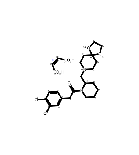 O=C(Cc1ccc(Cl)c(Cl)c1)N1CCCCC1CN1CCC2(CC1)OCCO2.O=C(O)/C=C\C(=O)O